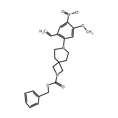 C=Cc1cc([N+](=O)[O-])c(OC)cc1N1CCC2(CC1)CN(C(=O)OCc1ccccc1)C2